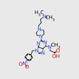 CN(C)CCCN1CCN(C2=NC(N(C)CC(=O)O)C3N=CN(Cc4ccc([N+](=O)[O-])cc4)C3=N2)CC1